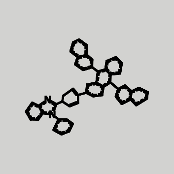 C1=CC(c2nc3ccccc3n2-c2ccccc2)CC=C1c1ccc2c(-c3ccc4ccccc4c3)c3ccccc3c(-c3ccc4ccccc4c3)c2c1